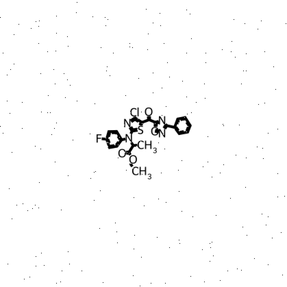 CCOC(=O)C(C)N(c1ccc(F)cc1)c1nc(Cl)c(C(=O)c2nc(-c3ccccc3)no2)s1